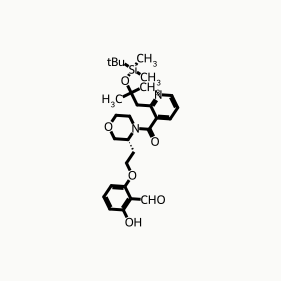 CC(C)(Cc1ncccc1C(=O)N1CCOC[C@H]1CCOc1cccc(O)c1C=O)O[Si](C)(C)C(C)(C)C